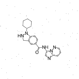 O=C(Nc1cnc2cccnn12)c1ccc2c(c1)CNN2C1CCCCC1